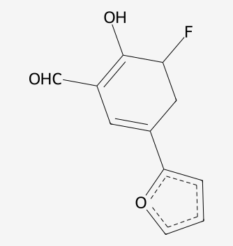 O=CC1=C(O)C(F)CC(c2ccco2)=C1